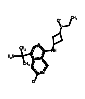 CC[S+]([O-])C1CC(Nc2ncc(C(C)(C)N)c3cc(Cl)ncc23)C1